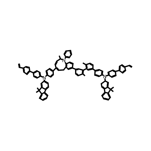 C=Cc1ccc(-c2ccc(N(c3ccc(C4=C/Cc5cc(-c6ccc(C)c(-c7cc(-c8ccc(N(c9ccc(-c%10ccc(C=C)cc%10)cc9)C9C=C%10C(=CC9)c9ccccc9C%10(C)C)cc8)ccc7C)c6)ccc5N(c5ccccc5)C(C)/C=C\4)cc3)c3ccc4c(c3)C(C)(C)c3ccccc3-4)cc2)cc1